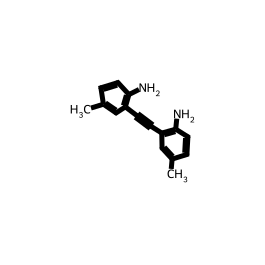 Cc1ccc(N)c(C#Cc2cc(C)ccc2N)c1